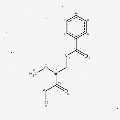 C[O][Sn]([CH2]NC(=O)c1ccccc1)[C](=O)CCl